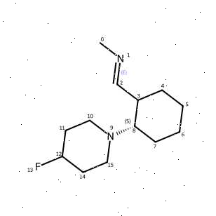 C/N=C/C1CCCC[C@@H]1N1CCC(F)CC1